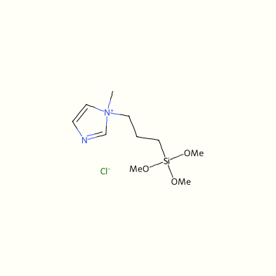 CO[Si](CCC[N+]1(C)C=CN=C1)(OC)OC.[Cl-]